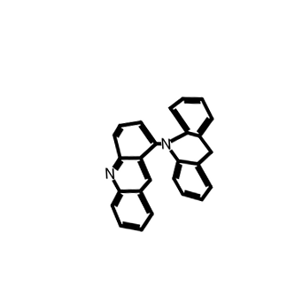 c1ccc2c(c1)Cc1ccccc1N2c1cccc2nc3ccccc3cc12